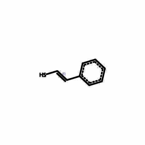 S/C=C/c1ccccc1